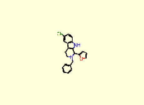 Clc1ccc2[nH]c3c(c2c1)CCN(Cc1ccccc1)C3c1ccco1